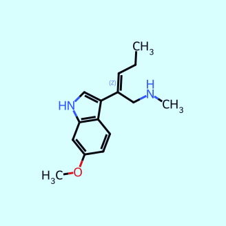 CC/C=C(\CNC)c1c[nH]c2cc(OC)ccc12